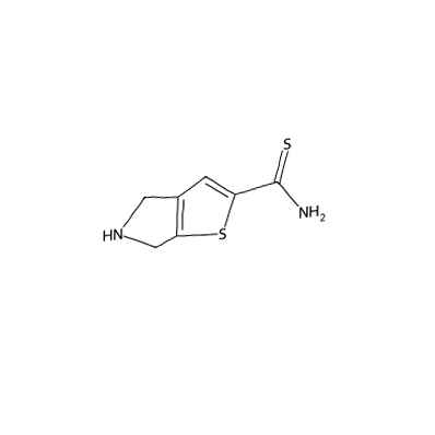 NC(=S)c1cc2c(s1)CNC2